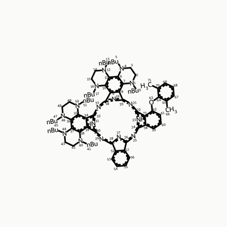 CCCCN1CCN(CCCC)c2c1c1c(c3c2N(CCCC)CCN3CCCC)-c2nc-1nc1[nH]c(nc3nc(nc4[nH]c(n2)c2c5c(c6c(c42)N(CCCC)CCN6CCCC)N(CCCC)CCN5CCCC)-c2ccccc2-3)c2cccc(Oc3c(C)cccc3C)c12